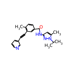 Cc1ccc(C(=O)Nc2cc(C)n(C(C)C)n2)cc1C#Cc1cccnc1